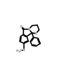 COc1ccc2c(c1)C1(c3ccccc3)SCCCN1C2=O